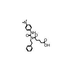 CN(C)c1ccc(NC(=O)N(CCc2ccccc2)C(=O)CCCC(=O)O)cc1